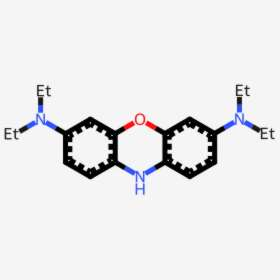 CCN(CC)c1ccc2c(c1)Oc1cc(N(CC)CC)ccc1N2